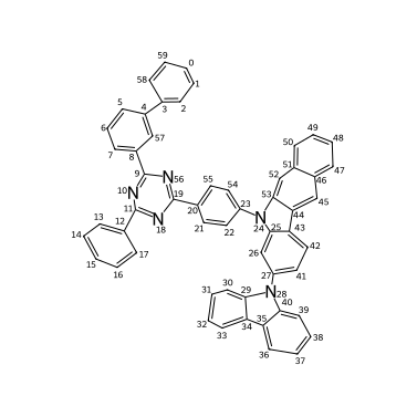 c1ccc(-c2cccc(-c3nc(-c4ccccc4)nc(-c4ccc(-n5c6cc(-n7c8ccccc8c8ccccc87)ccc6c6cc7ccccc7cc65)cc4)n3)c2)cc1